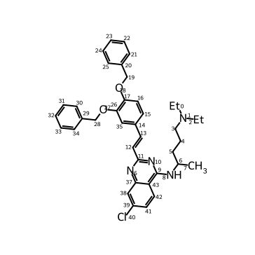 CCN(CC)CCCC(C)Nc1nc(C=Cc2ccc(OCc3ccccc3)c(OCc3ccccc3)c2)nc2cc(Cl)ccc12